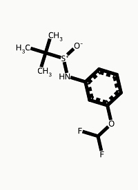 CC(C)(C)[S+]([O-])Nc1cccc(OC(F)F)c1